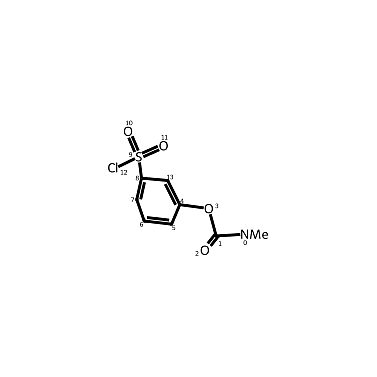 CNC(=O)Oc1cccc(S(=O)(=O)Cl)c1